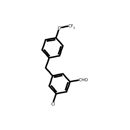 O=Cc1cc(Cl)cc(Cc2ccc(OC(F)(F)F)cc2)c1